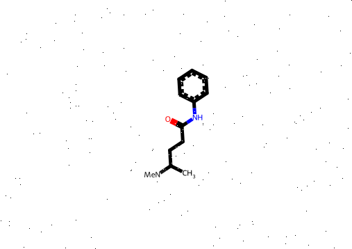 CNC(C)CCC(=O)Nc1ccccc1